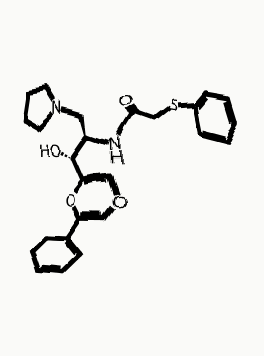 O=C(CSc1ccccc1)N[C@H](CN1CCCC1)[C@@H](O)C1=COC=C(C2=CC=CCC2)O1